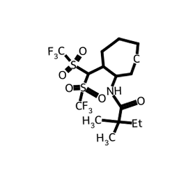 CCC(C)(C)C(=O)NC1CCCCCC1C(S(=O)(=O)C(F)(F)F)S(=O)(=O)C(F)(F)F